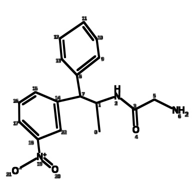 CC(NC(=O)CN)C(c1ccccc1)c1cccc([N+](=O)[O-])c1